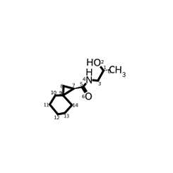 C[C@@H](O)CNC(=O)[C@@H]1CC12CCCCC2